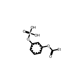 CCC(=O)Oc1cccc(OP(=O)(O)O)c1